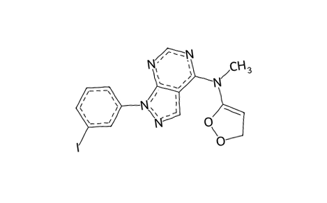 CN(C1=CCOO1)c1ncnc2c1cnn2-c1cccc(I)c1